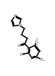 O=C(CCCn1ccnc1)c1c(Cl)cc(Cl)cc1Cl